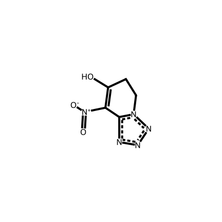 O=[N+]([O-])C1=C(O)CCn2nnnc21